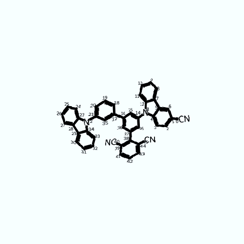 N#Cc1ccc2c(c1)c1ccccc1n2-c1cc(-c2cccc(-n3c4ccccc4c4ccccc43)c2)cc(-c2c(C#N)cccc2C#N)c1